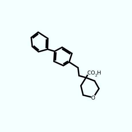 O=C(O)C1(CCc2ccc(-c3ccccc3)cc2)CCOCC1